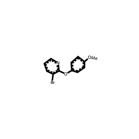 COc1ccc(Oc2ncccc2Br)cc1